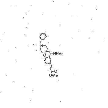 COC(=O)C=Cc1ccc2c(c1)C(NC(C)=O)CC1(CCN(Cc3ccccc3)CC1)O2